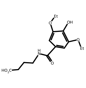 CCOc1cc(C(=O)NCCCC(=O)O)cc(OCC)c1O